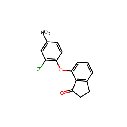 O=C1CCc2cccc(Oc3ccc([N+](=O)[O-])cc3Cl)c21